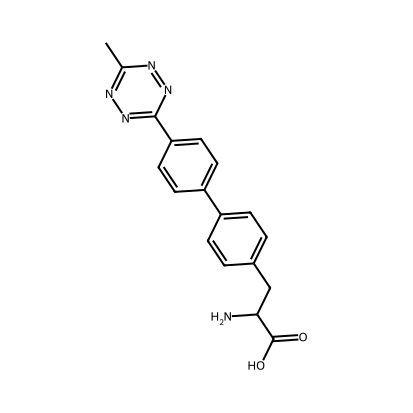 Cc1nnc(-c2ccc(-c3ccc(CC(N)C(=O)O)cc3)cc2)nn1